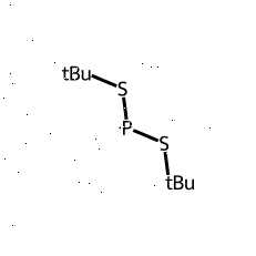 CC(C)(C)S[P]SC(C)(C)C